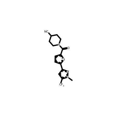 Cn1nc(-c2ccc(C(=O)N3CCC(C#N)CC3)s2)cc1C(F)(F)F